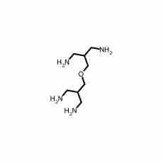 NCC(CN)COCC(CN)CN